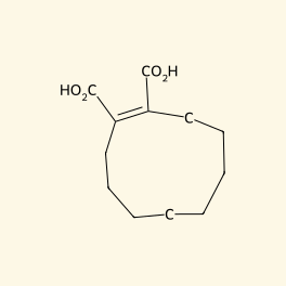 O=C(O)C1=C(C(=O)O)CCCCCCCC1